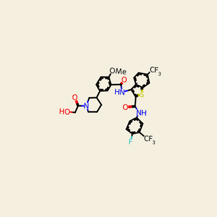 COc1ccc(C2CCCN(C(=O)CO)C2)cc1C(=O)Nc1c(C(=O)Nc2ccc(F)c(C(F)(F)F)c2)sc2cc(C(F)(F)F)ccc12